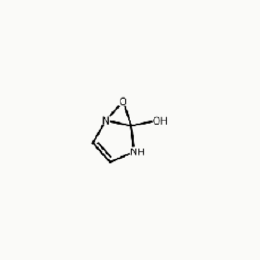 OC12NC=CN1O2